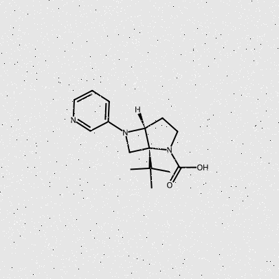 CC(C)(C)[C@@]12CN(c3cccnc3)[C@@H]1CCN2C(=O)O